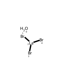 O.[Br][La]([Br])[Br]